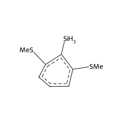 CSc1cccc(SC)c1[SiH3]